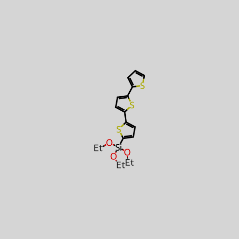 CCO[Si](OCC)(OCC)c1ccc(-c2ccc(-c3cccs3)s2)s1